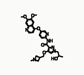 COc1cc2nccc(Oc3ccc(NC(=O)c4nn(CC(C)O)cc4OCC4CN(C)C4)nc3)c2cc1OC